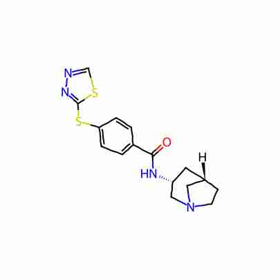 O=C(N[C@@H]1C[C@@H]2CCN(C2)C1)c1ccc(Sc2nncs2)cc1